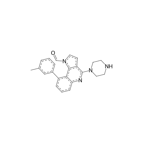 Cc1cccc(-c2cccc3nc(N4CCNCC4)c4ccn(C=O)c4c23)c1